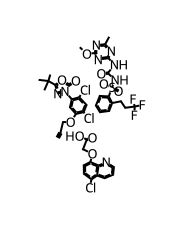 C#CCOc1cc(-n2nc(C(C)(C)C)oc2=O)c(Cl)cc1Cl.COc1nc(C)nc(NC(=O)NS(=O)(=O)c2ccccc2CCC(F)(F)F)n1.O=C(O)COc1ccc(Cl)c2cccnc12